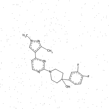 Cc1nn(C)cc1-c1ccnc(N2CCC(O)(c3ccc(F)c(F)c3)CC2)n1